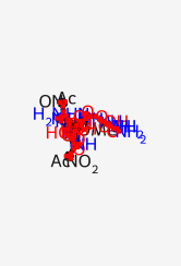 COC[C@H]1O[C@@H](n2cc(C#CCNC(=O)CNC(=O)C(O)CNC(=O)C(N)CN)c(=O)[nH]c2=O)C[C@@H]1OP(=O)(O)OC[C@H]1O[C@@H](n2cc(C#Cc3ccc(C(C)=O)c([N+](=O)[O-])c3)c(=O)[nH]c2=O)C[C@@H]1OP(=O)(O)OC[C@H]1O[C@@H](n2cc(C#Cc3ccc(C(C)=O)c(N=O)c3)c3c(N)ncnc32)C[C@@H]1O